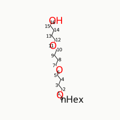 CCCCCCOCCCCOCCCCOCCCCO